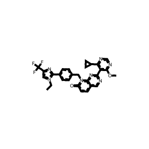 CCn1cc(C(F)(F)F)nc1-c1ccc(Cn2c(=O)ccc3cnc(-c4c(OC)ncnc4C4CC4)nc32)cc1